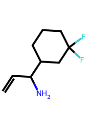 C=CC(N)C1CCCC(F)(F)C1